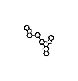 c1cc(-c2ccc3c4nc5ccccc5cc4c4nc5ccccc5n4c3c2)cc(-c2cccc3c2sc2ccccc23)c1